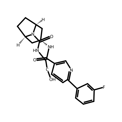 O=C(N[C@@H]1C[C@H]2CC[C@@H](C1)N2C(=O)NCCO)c1ccc(-c2cccc(F)c2)nc1